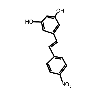 O=[N+]([O-])c1ccc(C=Cc2cc(O)cc(O)c2)cc1